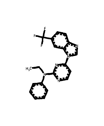 CCN(c1ccccc1)c1nccc(-n2cnc3ccc(C(F)(F)F)cc32)n1